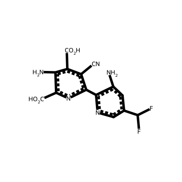 N#Cc1c(-c2ncc(C(F)F)cc2N)nc(C(=O)O)c(N)c1C(=O)O